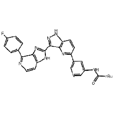 CCCCC(=O)Nc1cncc(-c2ccc3[nH]nc(-c4nc5c(-c6ccc(F)cc6)nccc5[nH]4)c3n2)c1